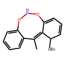 CCCCC1C=CC=C2OPOc3ccccc3/C(C)=C\21